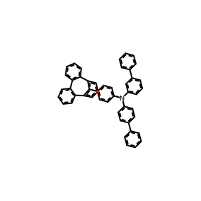 c1ccc(-c2ccc(N(c3ccc(-c4c5cccc4-c4ccccc4-c4ccccc4-5)cc3)c3cccc(-c4ccccc4)c3)cc2)cc1